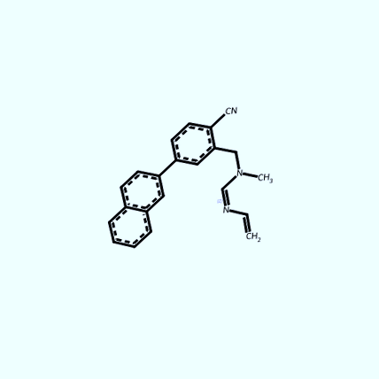 C=C/N=C\N(C)Cc1cc(-c2ccc3ccccc3c2)ccc1C#N